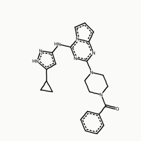 O=C(c1ccccc1)N1CCN(c2nc(Nc3cc(C4CC4)[nH]n3)n3cccc3n2)CC1